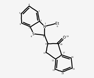 CCN1c2ccccc2SC1C1Cc2ccccc2C1=O